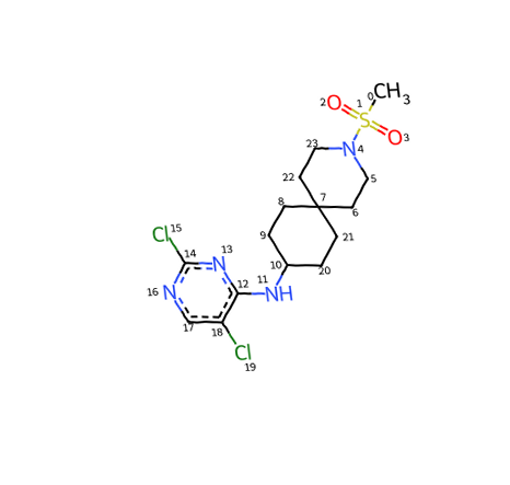 CS(=O)(=O)N1CCC2(CCC(Nc3nc(Cl)ncc3Cl)CC2)CC1